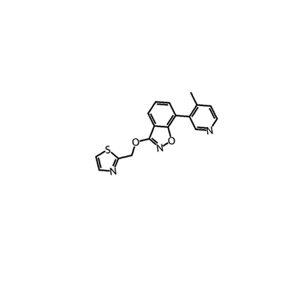 Cc1ccncc1-c1cccc2c(OCc3nccs3)noc12